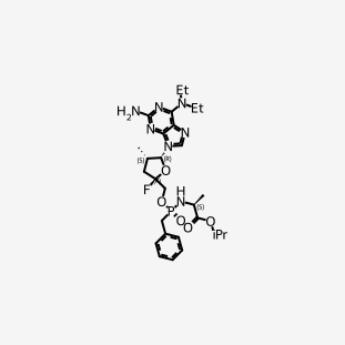 CCN(CC)c1nc(N)nc2c1ncn2[C@@H]1O[C@](F)(COP(=O)(Cc2ccccc2)N[C@@H](C)C(=O)OC(C)C)C[C@@H]1C